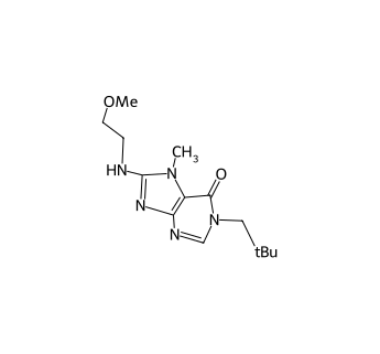 COCCNc1nc2ncn(CC(C)(C)C)c(=O)c2n1C